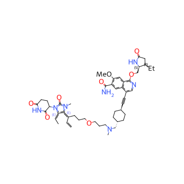 C=C/C(CCCOCCCN(C)C[C@H]1CC[C@H](C#Cc2cnc(OC[C@H]3NC(=O)C[C@H]3CC)c3cc(OC)c(C(N)=O)cc23)CC1)=c1\c(=C/C)n(C2CCC(=O)NC2=O)c(=O)n1C